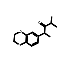 CC(C)C(=O)C(C)c1ccc2c(c1)OCCO2